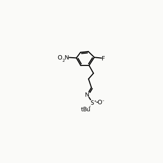 CC(C)(C)[S@@+]([O-])/N=C/CCc1cc([N+](=O)[O-])ccc1F